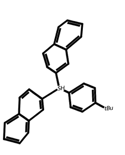 CC(C)(C)c1ccc([SH](c2ccc3ccccc3c2)c2ccc3ccccc3c2)cc1